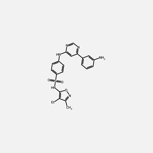 CCc1c(C)noc1NS(=O)(=O)c1ccc(Nc2cc(-c3cccc(N)c3)ncn2)cc1